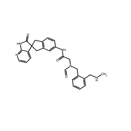 CNCc1ccccc1CN(C=O)CC(=O)Nc1ccc2c(c1)CC1(C2)C(=O)Nc2ncccc21